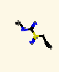 C#CCS(=N)C(=N)NC